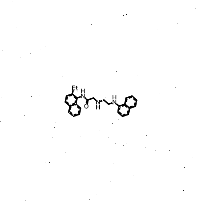 CCc1ccc2ccccc2c1NC(=O)CNCCNc1cccc2ccccc12